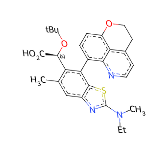 CCN(C)c1nc2cc(C)c([C@H](OC(C)(C)C)C(=O)O)c(-c3ccc4c5c(ccnc35)CCO4)c2s1